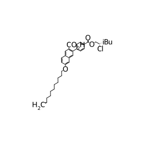 C=CCCCCCCCCCOc1ccc2cc(C(=O)O)c(-c3ccc(C(=O)OC[C@@H](Cl)[C@@H](C)CC)cc3)cc2c1